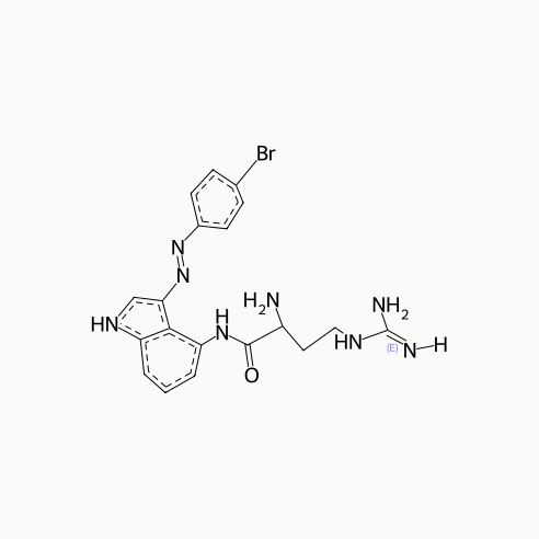 [H]/N=C(\N)NCCC(N)C(=O)Nc1cccc2[nH]cc(N=Nc3ccc(Br)cc3)c12